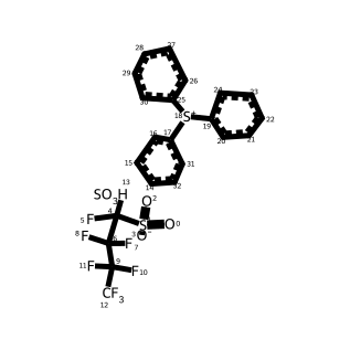 O=S(=O)([O-])C(F)(C(F)(F)C(F)(F)C(F)(F)F)S(=O)(=O)O.c1ccc([S+](c2ccccc2)c2ccccc2)cc1